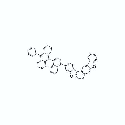 c1ccc(-c2c3ccccc3c(-c3ccc(-c4ccc5c(c4)oc4ccc6cc7oc8ccccc8c7cc6c45)c4ccccc34)c3ccccc23)cc1